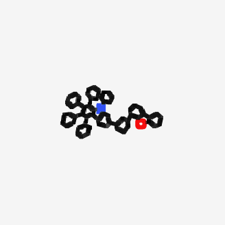 c1ccc(-c2c(-c3ccccc3)c(-c3ccccc3)c3c(c2-c2ccccc2)c2ccc(-c4cccc(-c5cccc6c5oc5ccccc56)c4)cc2n3-c2ccccc2)cc1